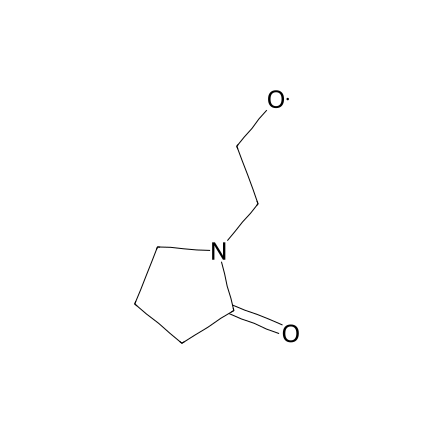 [O]CCN1CCCC1=O